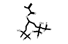 C=C(C)C(=O)OC(CCC(C)(O)C(F)(F)F)CCC(O)(C(F)(F)F)C(F)(F)F